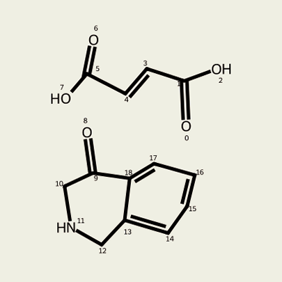 O=C(O)C=CC(=O)O.O=C1CNCc2ccccc21